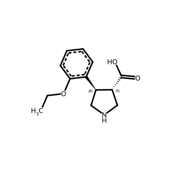 CCOc1ccccc1[C@@H]1CNC[C@H]1C(=O)O